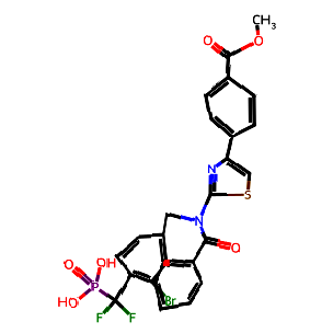 COC(=O)c1ccc(-c2csc(N(Cc3ccc(C(F)(F)P(=O)(O)O)c(Br)c3)C(=O)c3ccccc3)n2)cc1